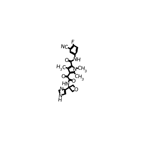 Cc1c(C(=O)C(=O)NC2(c3c[nH]cn3)COC2)c(C)n(C)c1C(=O)Nc1ccc(F)c(C#N)c1